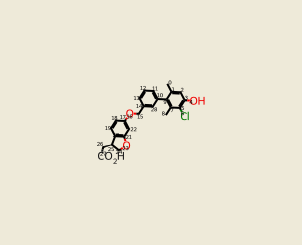 Cc1cc(O)c(Cl)c(C)c1-c1cccc(COc2ccc3c(c2)OC[C@H]3CC(=O)O)c1